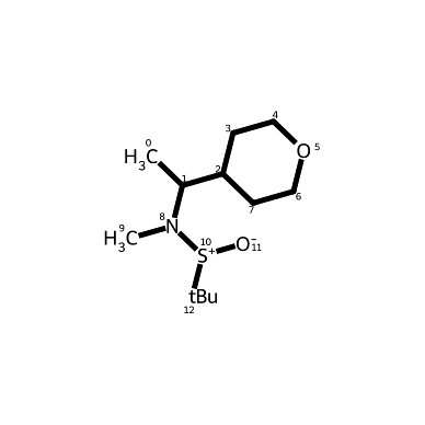 CC(C1CCOCC1)N(C)[S+]([O-])C(C)(C)C